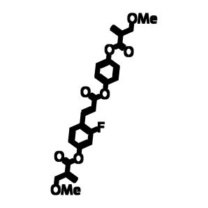 C=C(COC)C(=O)Oc1ccc(OC(=O)/C=C/c2ccc(OC(=O)C(=C)COC)cc2F)cc1